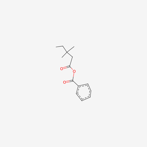 CCC(C)(C)CC(=O)OC(=O)c1ccccc1